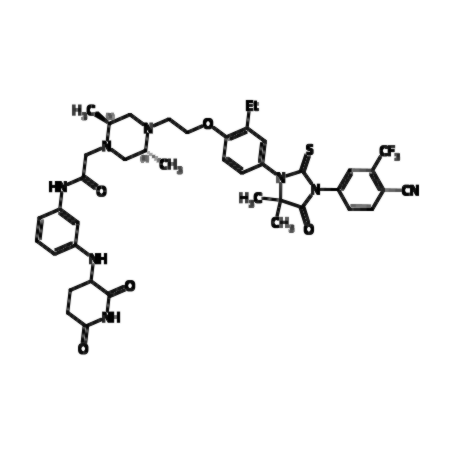 CCc1cc(N2C(=S)N(c3ccc(C#N)c(C(F)(F)F)c3)C(=O)C2(C)C)ccc1OCCN1C[C@H](C)N(CC(=O)Nc2cccc(NC3CCC(=O)NC3=O)c2)C[C@H]1C